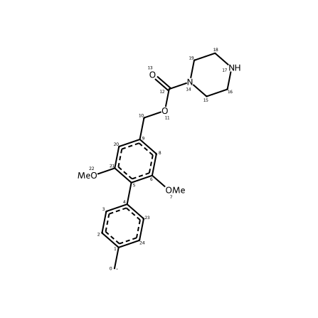 [CH2]c1ccc(-c2c(OC)cc(COC(=O)N3CCNCC3)cc2OC)cc1